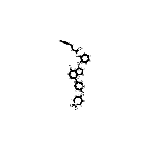 CC#CCCC(=O)Oc1ccccc1O[C@@H]1CCc2c(-c3ccc(OC4CCS(=O)(=O)CC4)nc3)ccc(F)c21